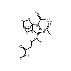 CNC(=O)CCN(C)C(=O)C1CC2CCC1(C(NC(C)=O)C(=O)O)O2